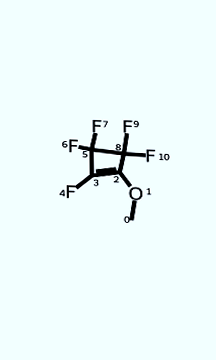 COC1=C(F)C(F)(F)C1(F)F